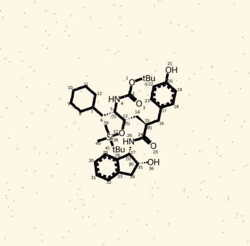 CC(C)(C)OC(=O)N[C@@H](CC1CCCCC1)[C@H](C[C@@H](Cc1ccc(O)cc1)C(=O)N[C@H]1c2ccccc2C[C@H]1O)O[Si](C)(C)C(C)(C)C